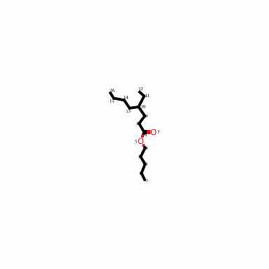 CCCCCOC(=O)CCC(CC)CCCC